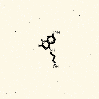 COc1ccc2c(c1)N(C)C(I)=CC2NCCCCO